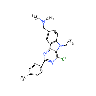 CN(C)Cc1ccc2c(c1)c1nc(-c3ccc(C(F)(F)F)cc3)nc(Cl)c1n2CC(F)(F)F